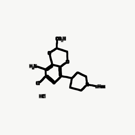 CCCCCCN1CCC(c2cc(Cl)c(N)c3c2OCC(C(=O)O)O3)CC1.Cl